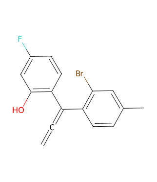 C=C=C(c1ccc(F)cc1O)c1ccc(C)cc1Br